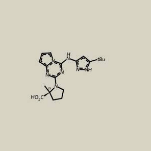 CC(C)(C)c1cc(Nc2nc(N3CCC[C@@]3(C)C(=O)O)nc3cccn23)n[nH]1